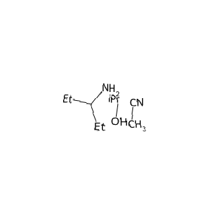 CC#N.CC(C)O.CCC(N)CC